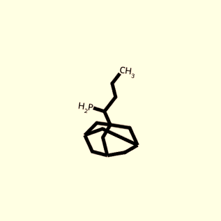 CCCC(P)C12CC3CC(CC(C3)C1)C2